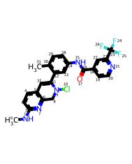 CNc1ccc2c(n1)CN(Cl)C(c1cc(NC(=O)c3ccnc(C(F)(F)F)c3)ccc1C)=C2